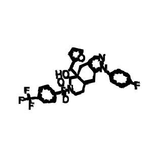 O=S(=O)(c1ccc(C(F)(F)F)cc1)N1CCC2=Cc3c(cnn3-c3ccc(F)cc3)C[C@]2([C@@H](O)c2ccco2)C1